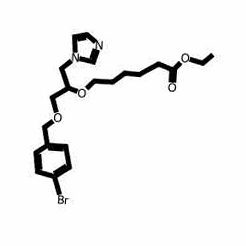 CCOC(=O)CCCCCOC(COCc1ccc(Br)cc1)Cn1ccnc1